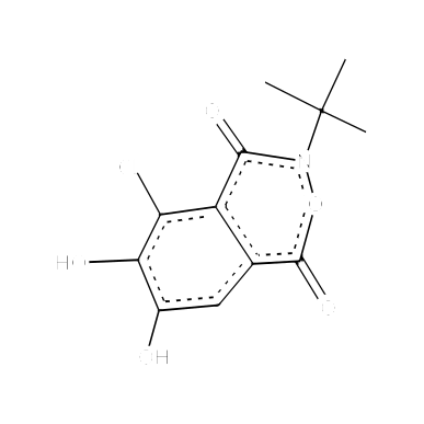 CC(C)(C)n1oc(=O)c2cc(O)c(O)c(Cl)c2c1=O